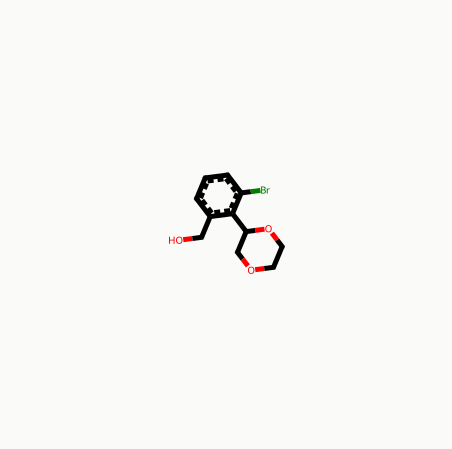 OCc1cccc(Br)c1C1COCCO1